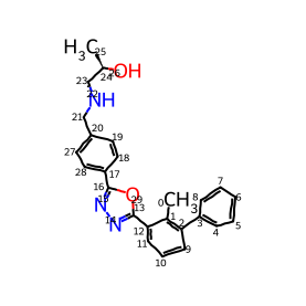 Cc1c(-c2ccccc2)cccc1-c1nnc(-c2ccc(CN[CH][C@@H](C)O)cc2)o1